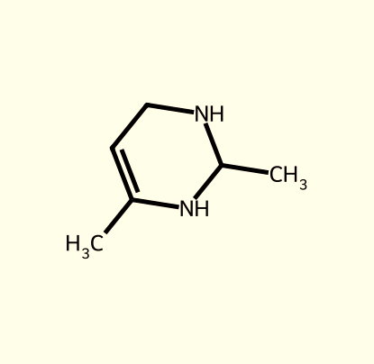 CC1=CCNC(C)N1